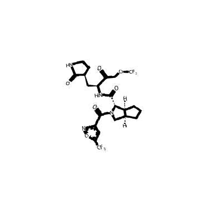 O=C1NCC[C@H]1C[C@H](NC(=O)[C@@H]1[C@H]2CCC[C@H]2CN1C(=O)c1cc(C(F)(F)F)on1)C(=O)COC(F)(F)F